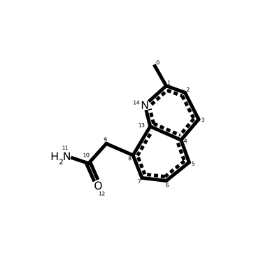 Cc1ccc2cccc(CC(N)=O)c2n1